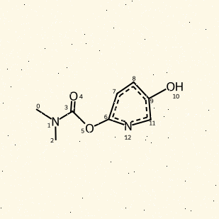 CN(C)C(=O)Oc1ccc(O)cn1